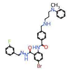 CN(CCCNCc1ccc(C(=O)Nc2ccc(Br)cc2C(=O)NN=Cc2cccc(F)c2)cc1)c1ccccc1